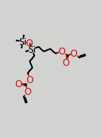 C=COC(=O)OCCCC[Si](C)(CCCCOC(=O)OC=C)O[Si](C)(C)C